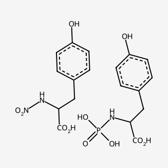 O=C(O)C(Cc1ccc(O)cc1)NP(=O)(O)O.O=C(O)C(Cc1ccc(O)cc1)N[N+](=O)[O-]